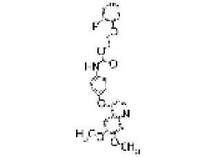 COc1cc2nccc(Oc3ccc(NC(=O)OCCOc4ccccc4F)cc3)c2cc1OC